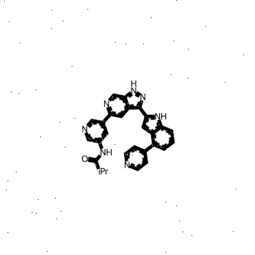 CC(C)C(=O)Nc1cncc(-c2cc3c(-c4cc5c(-c6ccncc6)cccc5[nH]4)n[nH]c3cn2)c1